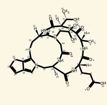 C[C@@H]1NC(=O)[C@H](CCC(=O)O)NC(=O)[C@H]2Cn3cc4ccsc4c3SC[C@H](NC(=O)[C@@H]([C@H](C)O)NC1=O)C(=O)N(C[C@@H](C)O)CC(=O)N2